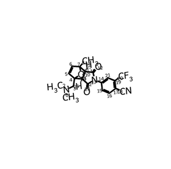 CN(C)CC12C=CC(C)(O1)[C@H]1C(=O)N(c3ccc(C#N)c(C(F)(F)F)c3)C(=O)[C@H]12